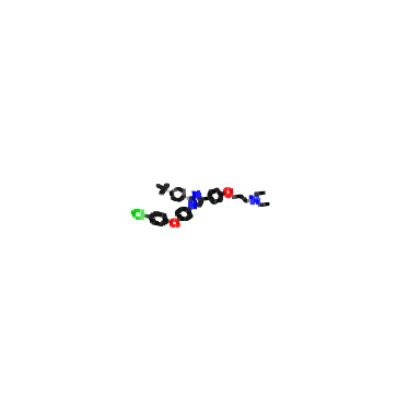 CCN(CC)CCCOc1ccc(-c2cn(-c3ccc(Oc4ccc(Cl)cc4)cc3)c([C@H]3CC[C@@H](C(C)(C)C)CC3)n2)cc1